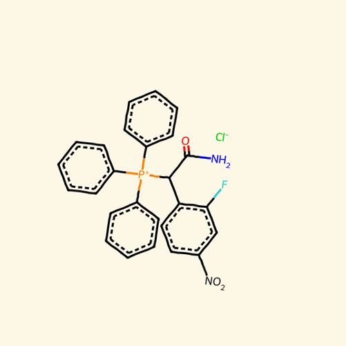 NC(=O)C(c1ccc([N+](=O)[O-])cc1F)[P+](c1ccccc1)(c1ccccc1)c1ccccc1.[Cl-]